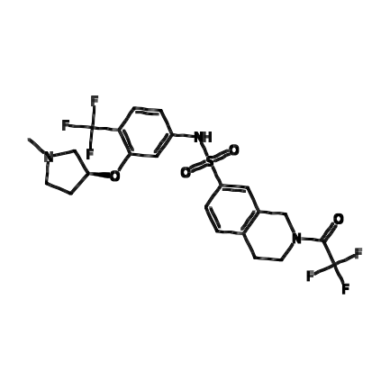 CN1CC[C@H](Oc2cc(NS(=O)(=O)c3ccc4c(c3)CN(C(=O)C(F)(F)F)CC4)ccc2C(F)(F)F)C1